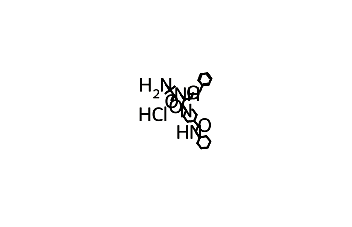 CC(C)(N)C(=O)NC(COCc1ccccc1)C(=O)N1CCC(C(=O)NC2CCCCC2)CC1.Cl